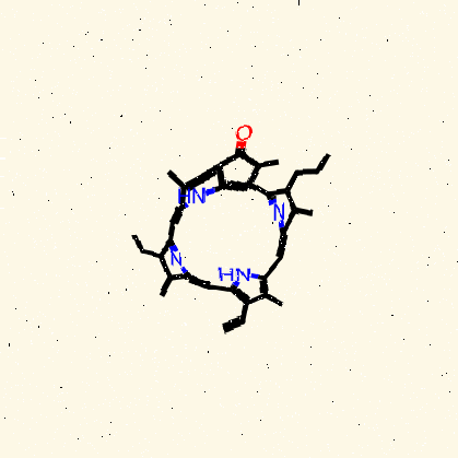 C=Cc1c(C)c2cc3nc(c4c5[nH]c(cc6nc(cc1[nH]2)C(C)C6CC)c(C)c5C(=O)C4C)C(CCC)C3C